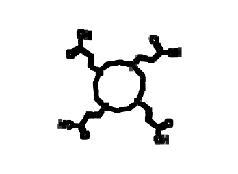 O=C(O)C=CN1CCN(C=CC(=O)O)CCN(C=CC(=O)O)CCN(C=CC(=O)O)CC1